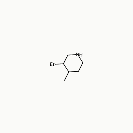 CCC1CNCCC1C